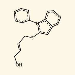 OC/C=C/CSc1cc2ccccc2n1-c1ccccc1